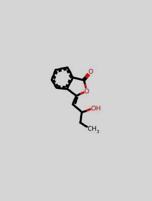 CCC(O)/C=C1\OC(=O)c2ccccc21